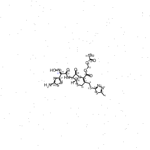 Cc1nnc(SCC2=C(C(=O)OCOC(=O)C(C)(C)C)N3C(=O)C(NC(=O)/C(=N/O)c4nsc(N)n4)[C@H]3SC2)s1